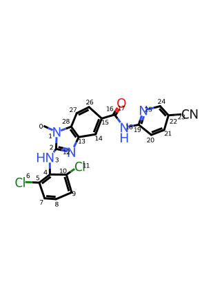 Cn1c(Nc2c(Cl)cccc2Cl)nc2cc(C(=O)Nc3ccc(C#N)cn3)ccc21